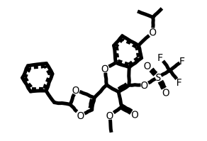 COC(=O)C1=C(OS(=O)(=O)C(F)(F)F)c2cc(OC(C)C)ccc2OC1C1=COC(Cc2ccccc2)O1